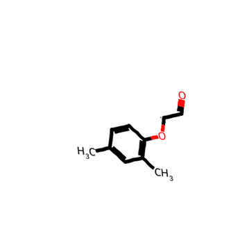 Cc1ccc(O[CH]C=O)c(C)c1